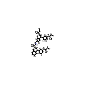 C=CC(=O)Oc1cccc([C@H]2CN(C(=O)/C=C/c3ccc4c(c3)CN(C(=O)C=C)C[C@H]4c3cccc(OC(=O)C=C)c3)Cc3ccccc32)c1